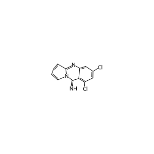 N=c1c2c(Cl)cc(Cl)cc2nc2ccccn12